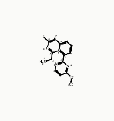 CCOc1ccnc(-c2cccc3nc(C)nc(CN)c23)n1